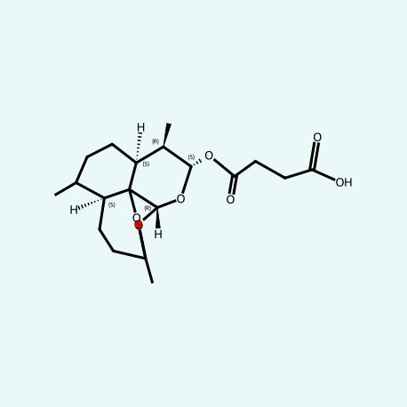 CC1CC[C@H]2[C@@H](C)[C@H](OC(=O)CCC(=O)O)O[C@@H]3OC4(C)CC[C@@H]1C32OO4